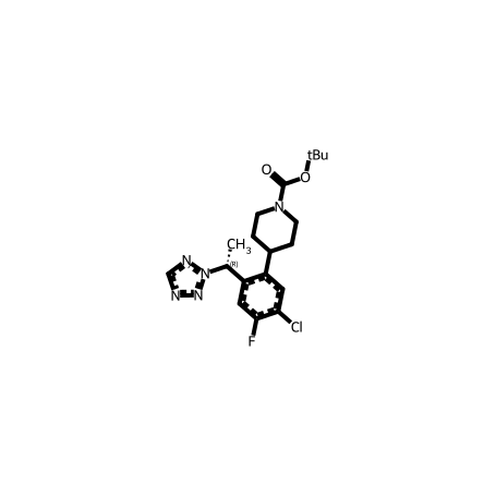 C[C@H](c1cc(F)c(Cl)cc1C1CCN(C(=O)OC(C)(C)C)CC1)n1ncnn1